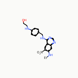 CCNc1cc2ncnc(NCc3ccc(NCCO)cc3)c2cc1[N+](=O)[O-]